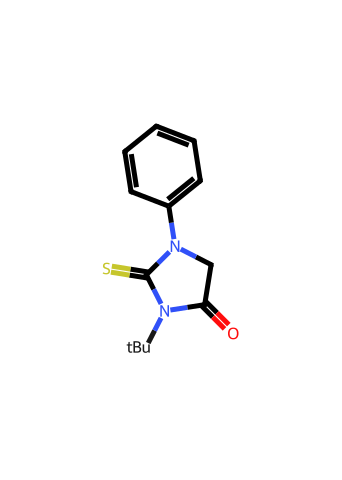 CC(C)(C)N1C(=O)CN(c2ccccc2)C1=S